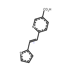 O=C(O)c1ccc(/C=C/c2cccs2)nc1